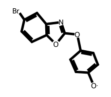 [O]c1ccc(Oc2nc3cc(Br)ccc3o2)cc1